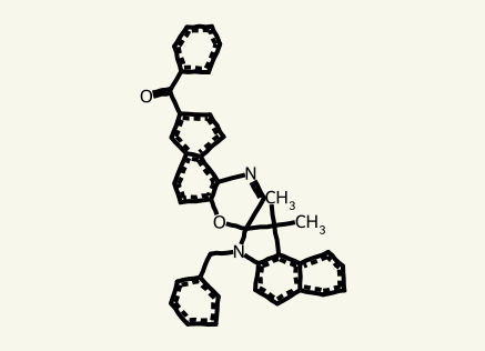 CC1(C)c2c(ccc3ccccc23)N(Cc2ccccc2)C12C=Nc1c(ccc3cc(C(=O)c4ccccc4)ccc13)O2